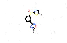 Cc1cnc([S+]([O-])c2[c]ccc(-c3noc(C(F)(F)F)n3)c2)s1